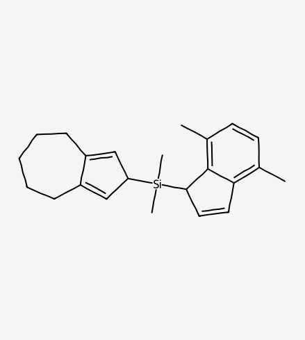 Cc1ccc(C)c2c1C=CC2[Si](C)(C)C1C=C2CCCCCC2=C1